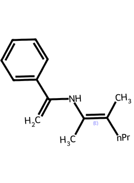 C=C(N/C(C)=C(\C)CCC)c1ccccc1